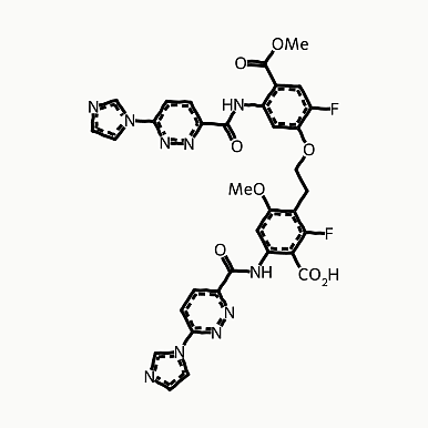 COC(=O)c1cc(F)c(OCCc2c(OC)cc(NC(=O)c3ccc(-n4ccnc4)nn3)c(C(=O)O)c2F)cc1NC(=O)c1ccc(-n2ccnc2)nn1